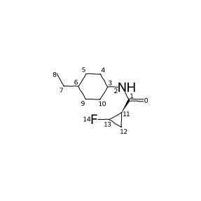 C=C(NC1CCC(CC)CC1)[C@H]1CC1F